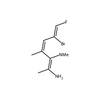 CNC(/C(C)=C\C(Br)=C\F)=C(/C)N